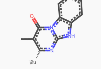 CC[C@@H](C)c1nc2[nH]c3ccccc3n2c(=O)c1C